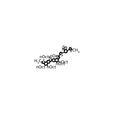 CCCCCCCCc1c(CCCCCCCC)c2cc(C)sc2c2cc3c(cc12)c1cc2c(CCCCCCCC)c(CCCCCCCC)c4cc(-c5ccc(-c6ccc(-c7ccc(C)s7)c7nsnc67)s5)sc4c2cc1n3C(CCCCCCCC)CCCCCCCC